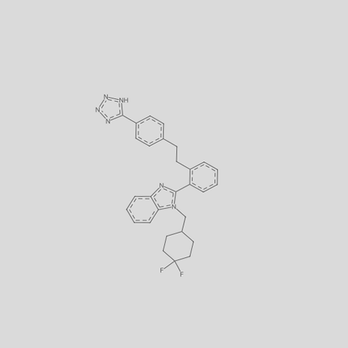 FC1(F)CCC(Cn2c(-c3ccccc3CCc3ccc(-c4nnn[nH]4)cc3)nc3ccccc32)CC1